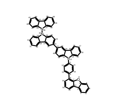 c1ccc2c(c1)oc1c(-c3ccc(-n4c5ccccc5c5cc(-c6ccc7c(c6)c6ccccc6n7-n6c7ccccc7c7ccccc76)ccc54)cc3)cccc12